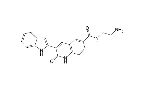 NCCNC(=O)c1ccc2[nH]c(=O)c(-c3cc4ccccc4[nH]3)cc2c1